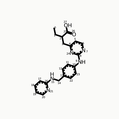 CCC(Cc1ccnc(Nc2ccc(CNc3ccccn3)cc2)n1)C(=O)O